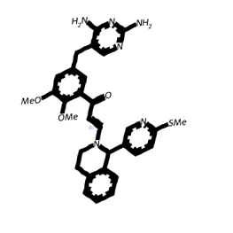 COc1cc(Cc2cnc(N)nc2N)cc(C(=O)/C=C/N2CCc3ccccc3C2c2ccc(SC)nc2)c1OC